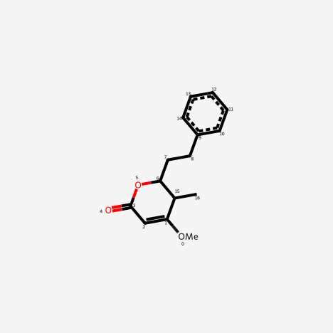 COC1=CC(=O)OC(CCc2ccccc2)C1C